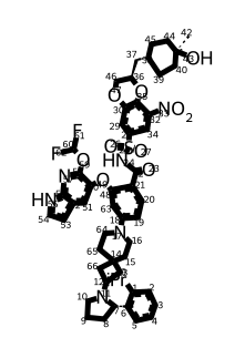 CC(C)c1ccccc1[C@@H]1CCCN1C1CC2(CCN(c3ccc(C(=O)NS(=O)(=O)c4cc5c(c([N+](=O)[O-])c4)O[C@H](C[C@H]4CC[C@](C)(O)CC4)CO5)c(Oc4cc5cc[nH]c5nc4OC(F)F)c3)CC2)C1